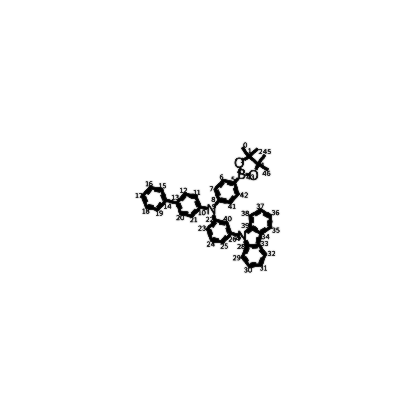 CC1(C)OB(c2ccc(N(c3ccc(-c4ccccc4)cc3)c3cccc(-n4c5ccccc5c5ccccc54)c3)cc2)OC1(C)C